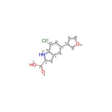 O=C(O)c1cc2cc(-c3ccoc3)cc(Cl)c2[nH]1